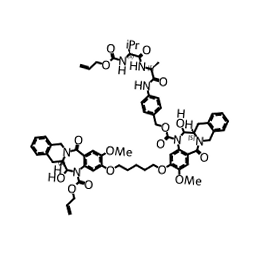 C=CCOC(=O)N[C@H](C(=O)N[C@@H](C)C(=O)Nc1ccc(COC(=O)N2c3cc(OCCCCCOc4cc5c(cc4OC)C(=O)N4Cc6ccccc6C[C@H]4C(O)N5C(=O)OCC=C)c(OC)cc3C(=O)N3Cc4ccccc4C[C@H]3C2O)cc1)C(C)C